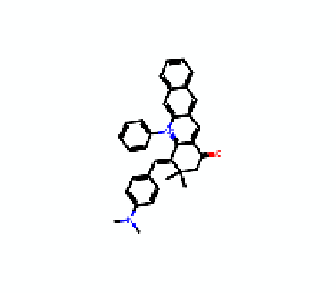 CN(C)c1ccc(C=C2c3c(cc4cc5ccccc5cc4[n+]3-c3ccccc3)C(=O)CC2(C)C)cc1